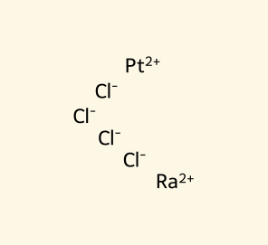 [Cl-].[Cl-].[Cl-].[Cl-].[Pt+2].[Ra+2]